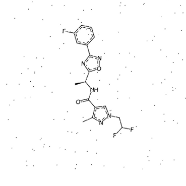 Cc1nn(CC(F)F)cc1C(=O)N[C@@H](C)c1nc(-c2cccc(F)c2)no1